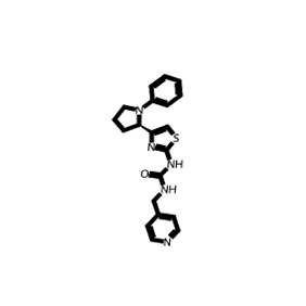 O=C(NCc1ccncc1)Nc1nc([C@H]2CCCN2c2ccccc2)cs1